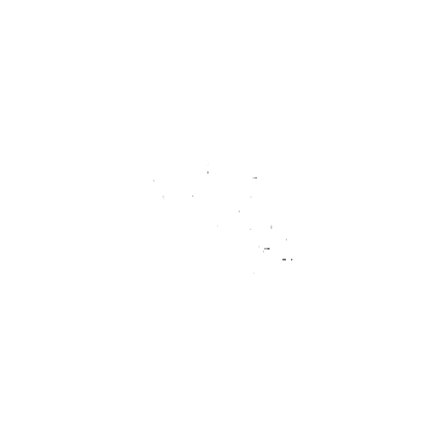 c1ccc(-n2c3ccccc3c3cc4c5ccccc5n(-c5cccc(-n6c7ccccc7c7c8ccccc8oc76)c5)c4cc32)cc1